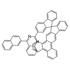 c1ccc2c(c1)-c1ccc(-c3nc(-c4ccc5ccccc5c4)c4ccccc4n3)cc1C21c2ccccc2-c2cc3c4ccccc4c4ccccc4c3cc21